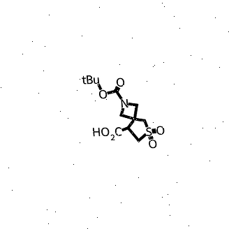 CC(C)(C)OC(=O)N1CC2(C1)CS(=O)(=O)CC2C(=O)O